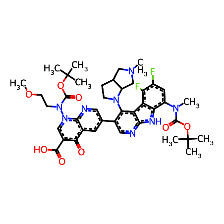 COCCN(C(=O)OC(C)(C)C)n1cc(C(=O)O)c(=O)c2cc(-c3cnc4[nH]c5c(N(C)C(=O)OC(C)(C)C)cc(F)c(F)c5c4c3N3CCC4CN(C)CC43)cnc21